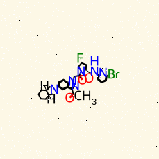 CC(=O)c1nn(CC(=O)N2C[C@H](F)C[C@H]2C(=O)Nc2cccc(Br)n2)c2ccc(N3C[C@H]4CCCC[C@H]4C3)cc12